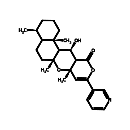 C[C@H]1CCC[C@@]2(C)C1CC[C@@]1(C)O[C@@]3(C)C=C(c4cccnc4)OC(=O)C3[C@H](O)C21